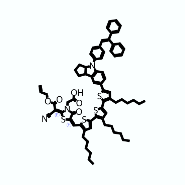 C=CCOC(=O)/C(C#N)=c1/s/c(=C/c2sc(-c3sc(-c4sc(-c5ccc6c(c5)C5CCCC5N6c5ccc(C=C(c6ccccc6)c6ccccc6)cc5)cc4CCCCCC)cc3CCCCCC)cc2CCCCCC)c(=O)n1CC(=O)O